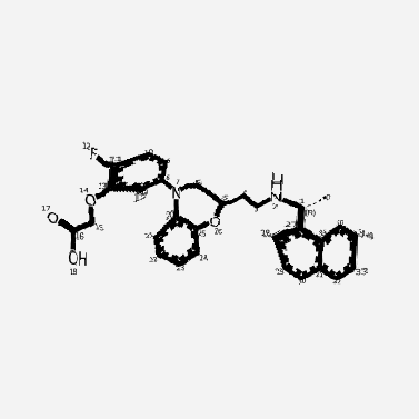 C[C@@H](NCCC1CN(c2ccc(F)c(OCC(=O)O)c2)c2ccccc2O1)c1cccc2ccccc12